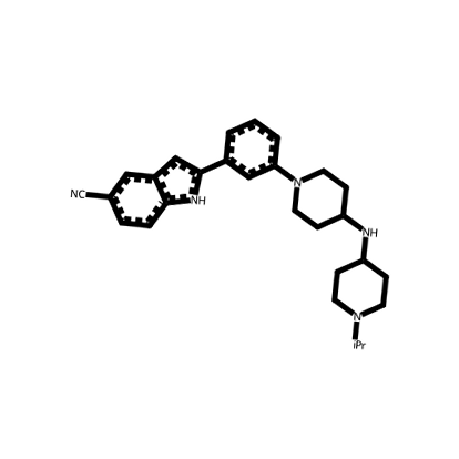 CC(C)N1CCC(NC2CCN(c3cccc(-c4cc5cc(C#N)ccc5[nH]4)c3)CC2)CC1